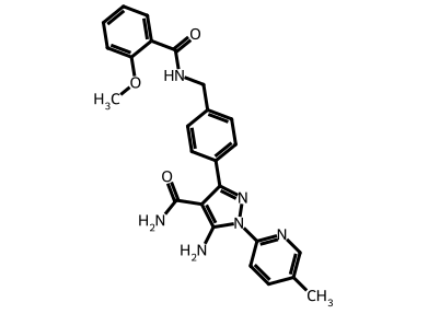 COc1ccccc1C(=O)NCc1ccc(-c2nn(-c3ccc(C)cn3)c(N)c2C(N)=O)cc1